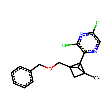 N#CC12CC(COCc3ccccc3)(C1)C2c1ncc(Cl)nc1Cl